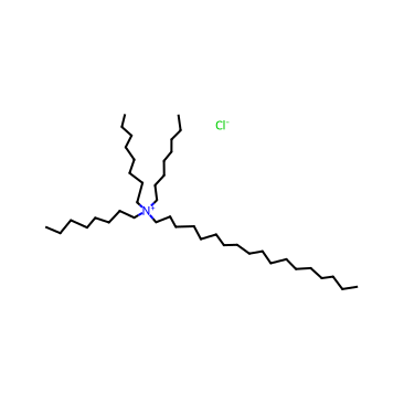 CCCCCCCCCCCCCCCCCC[N+](CCCCCCCC)(CCCCCCCC)CCCCCCCC.[Cl-]